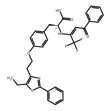 CCc1sc(-c2ccccc2)nc1CCOc1ccc(C[C@H](N/C(=C/C(=O)c2ccccc2)C(F)(F)F)C(=O)O)cc1